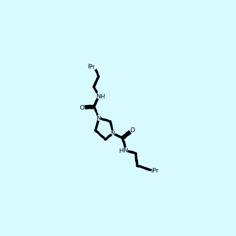 CC(C)CCNC(=O)N1CCN(C(=O)NCCC(C)C)C1